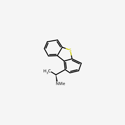 CN[C@@H](C)c1cccc2sc3ccccc3c12